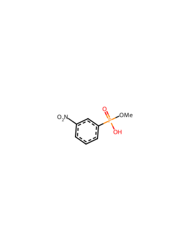 COP(=O)(O)c1cccc([N+](=O)[O-])c1